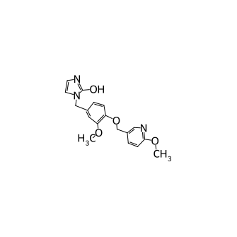 COc1ccc(COc2ccc(Cn3ccnc3O)cc2OC)cn1